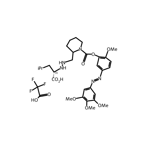 COc1ccc(N=Nc2cc(OC)c(OC)c(OC)c2)cc1OC(=O)N1CCCCC1CNN[C@@H](CC(C)C)C(=O)O.O=C(O)C(F)(F)F